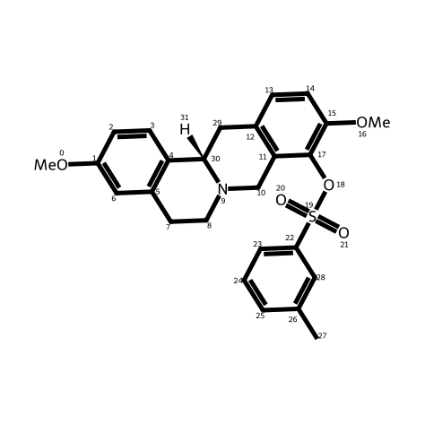 COc1ccc2c(c1)CCN1Cc3c(ccc(OC)c3OS(=O)(=O)c3cccc(C)c3)C[C@@H]21